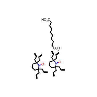 C=CCC1(CC=C)CCCC(CC=C)(CC=C)N1[O].C=CCC1(CC=C)CCCC(CC=C)(CC=C)N1[O].O=C(O)CCCCCCCCC(=O)O